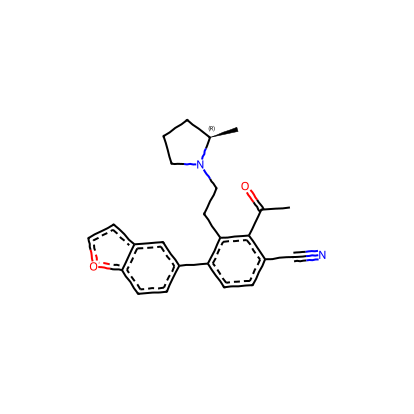 CC(=O)c1c(C#N)ccc(-c2ccc3occc3c2)c1CCN1CCC[C@H]1C